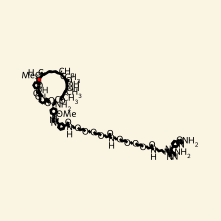 CO[C@H]1C[C@@H]2CCC[C@@](O)(O2)C(=O)C(=O)N2CCCC[C@H]2C(=O)O[C@H]([C@H](N)C[C@@H]2CCC(n3cc(-c4cccc(C(=O)NCCOCCOCCOCCOCCC(=O)NCCOCCOCCOCCOCCC(=O)NCCCCn5nc(-c6ccc7oc(N)nc7c6)c6c(N)ncnc65)c4)nn3)[C@H](OC)C2)CC(=O)[C@H](C)/C=C(\C)[C@@H](O)[C@@H](O)C(=O)[C@H](C)C[C@H](C)/C=C/C=C/C=C/1C